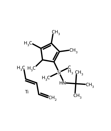 C=CC=CC.CC1=C(C)C(C)C([Si](C)(C)NC(C)(C)C)=C1C.[Ti]